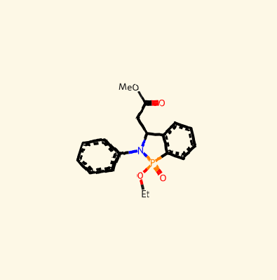 CCOP1(=O)c2ccccc2C(CC(=O)OC)N1c1ccccc1